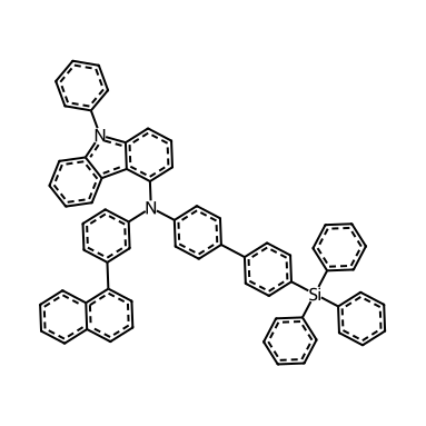 c1ccc(-n2c3ccccc3c3c(N(c4ccc(-c5ccc([Si](c6ccccc6)(c6ccccc6)c6ccccc6)cc5)cc4)c4cccc(-c5cccc6ccccc56)c4)cccc32)cc1